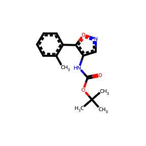 Cc1ccccc1-c1oncc1NC(=O)OC(C)(C)C